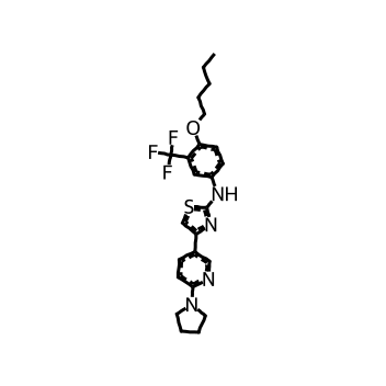 CCCCCOc1ccc(Nc2nc(-c3ccc(N4CCCC4)nc3)cs2)cc1C(F)(F)F